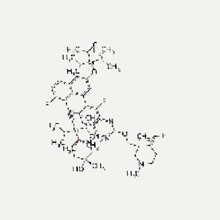 CC(C)[Si](C#Cc1c(F)ccc2cc(O[Si](C(C)C)(C(C)C)C(C)C)cc(-c3c(Cl)cc4c(N5CCC[C@@](C)(O)C5)nc(OC[C@]5(C)CN(C)CC/C5=C\F)nc4c3F)c12)(C(C)C)C(C)C